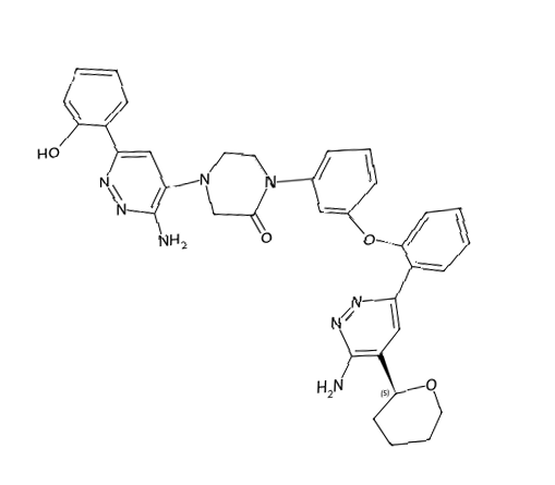 Nc1nnc(-c2ccccc2Oc2cccc(N3CCN(c4cc(-c5ccccc5O)nnc4N)CC3=O)c2)cc1[C@@H]1CCCCO1